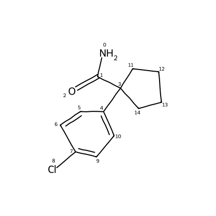 NC(=O)C1(c2ccc(Cl)cc2)CCCC1